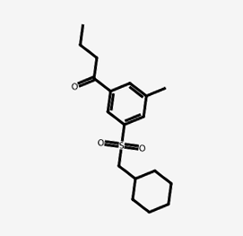 CCCC(=O)c1cc(C)cc(S(=O)(=O)CC2CCCCC2)c1